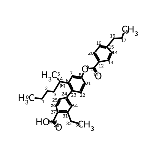 CCCC[C@@H](C)c1cc(OC(=O)c2ccc(CCC)cc2)ccc1-c1ccc(C(=O)O)c(CC)c1